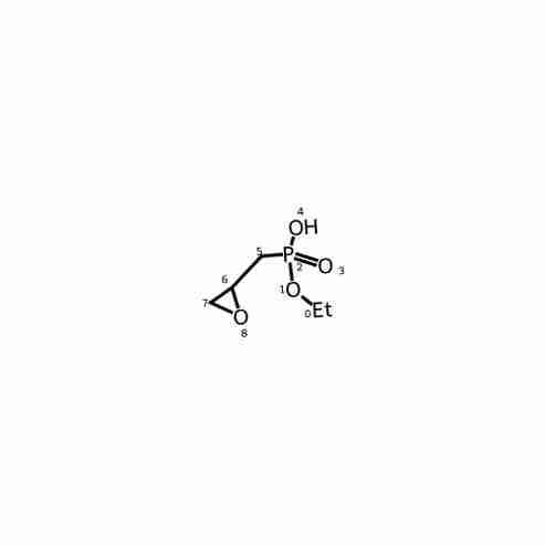 CCOP(=O)(O)CC1CO1